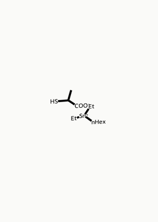 CC(S)C(=O)[O-].CCCCC[CH2][Sn+]([CH2]C)[CH2]C